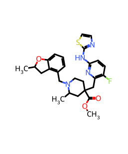 COC(=O)C1(Cc2nc(Nc3nccs3)ccc2F)CCN(Cc2cccc3c2CC(C)O3)C(C)C1